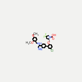 COc1ccc(CNc2cnnc3cc(-c4cc(Cl)ccc4OC[C@@H]4CC(F)(F)CN4C(=O)O)ccc23)c(OC)c1